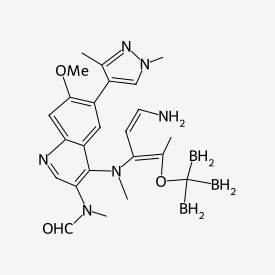 BC(B)(B)O/C(C)=C(/C=C\N)N(C)c1c(N(C)C=O)cnc2cc(OC)c(-c3cn(C)nc3C)cc12